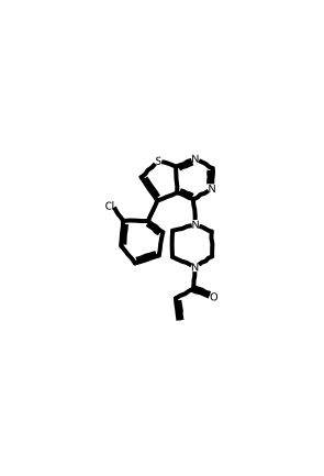 C=CC(=O)N1CCN(c2ncnc3scc(-c4ccccc4Cl)c23)CC1